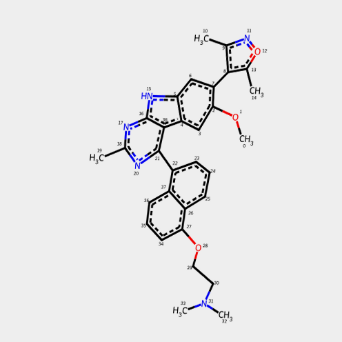 COc1cc2c(cc1-c1c(C)noc1C)[nH]c1nc(C)nc(-c3cccc4c(OCCN(C)C)cccc34)c12